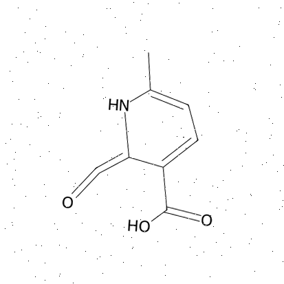 CC1=CC=C(C(=O)O)C(=C=O)N1